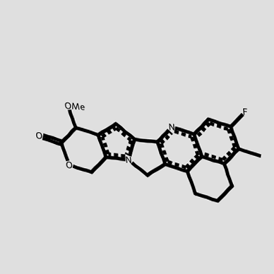 COC1C(=O)OCc2c1cc1n2Cc2c-1nc1cc(F)c(C)c3c1c2CCC3